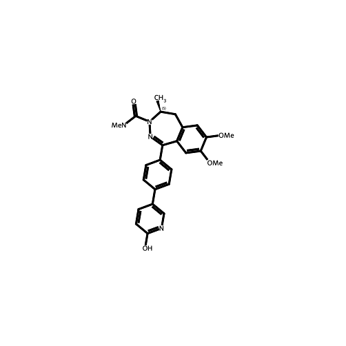 CNC(=O)N1N=C(c2ccc(-c3ccc(O)nc3)cc2)c2cc(OC)c(OC)cc2C[C@@H]1C